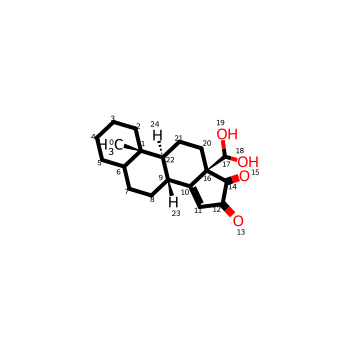 C[C@]12CCCCC1CC[C@H]1C3=CC(=O)C(=O)[C@@]3(C(O)O)CC[C@@H]12